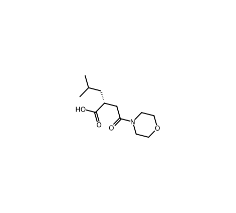 CC(C)C[C@H](CC(=O)N1CCOCC1)C(=O)O